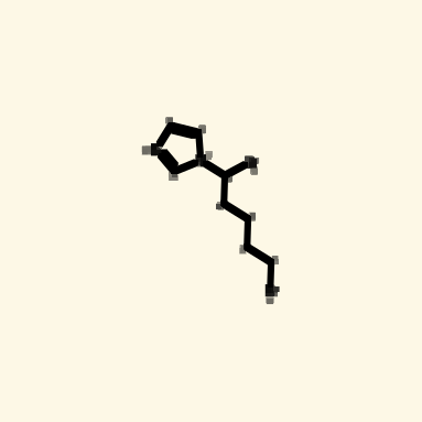 BrCCCCC(Br)n1ccnc1